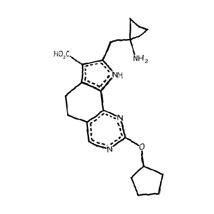 NC1(Cc2[nH]c3c(c2C(=O)O)CCc2cnc(OC4CCCC4)nc2-3)CC1